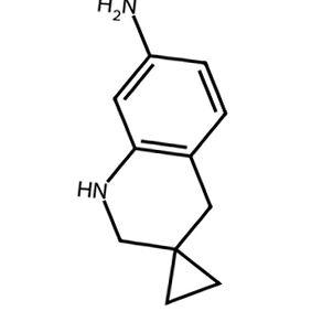 Nc1ccc2c(c1)NCC1(CC1)C2